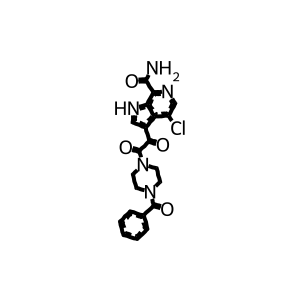 NC(=O)c1ncc(Cl)c2c(C(=O)C(=O)N3CCN(C(=O)c4ccccc4)CC3)c[nH]c12